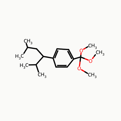 COC(OC)(OC)c1ccc(C(CC(C)C)C(C)C)cc1